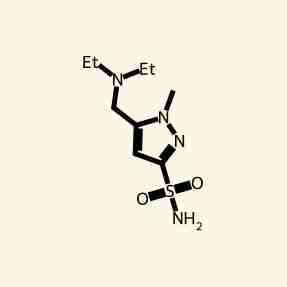 CCN(CC)Cc1cc(S(N)(=O)=O)nn1C